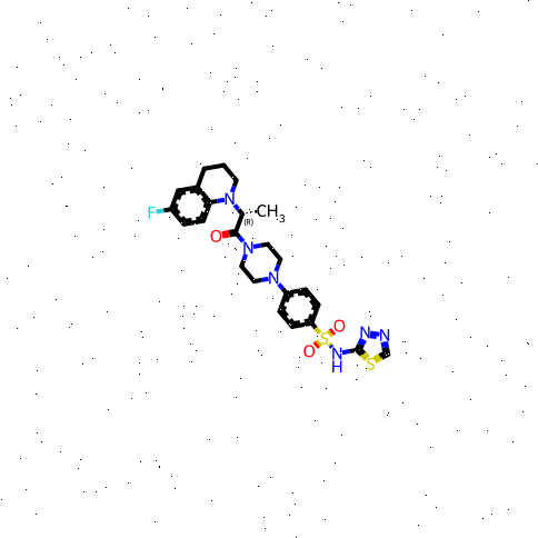 C[C@H](C(=O)N1CCN(c2ccc(S(=O)(=O)Nc3nncs3)cc2)CC1)N1CCCc2cc(F)ccc21